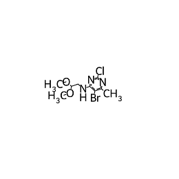 COC(CNc1nc(Cl)nc(C)c1Br)OC